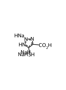 O=C(O)c1nn[nH]c1S.[NaH].[NaH].[NaH]